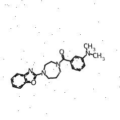 CN(C)c1cccc(C(=O)N2CCCN(c3nc4ccccc4o3)CC2)c1